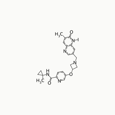 Cc1cc2ncc(CN3CC(Oc4ccc(C(=O)NC5(C)CC5)nc4)C3)cc2n(I)c1=O